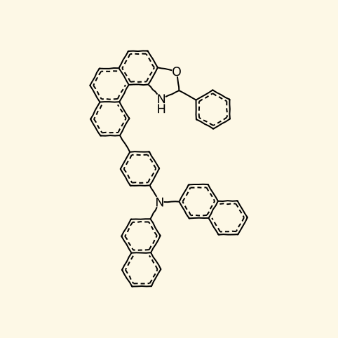 c1ccc(C2Nc3c(ccc4ccc5ccc(-c6ccc(N(c7ccc8ccccc8c7)c7ccc8ccccc8c7)cc6)cc5c34)O2)cc1